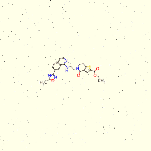 CCOC(=O)c1cc2c(s1)CCN(CCNc1nccc3ccc(-c4noc(C)n4)cc13)C2=O